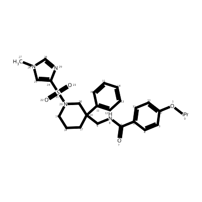 CC(C)Oc1ccc(C(=O)NCC2(c3ccccc3)CCCN(S(=O)(=O)c3cn(C)cn3)C2)cc1